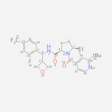 CC[C@@H]1CC[C@H](C(=O)NC(c2ccc(C(F)(F)F)cc2F)C2COC2)N1C(=O)c1ccnc(C(C)(C)C)c1